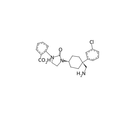 NC[C@]1(c2cccc(Cl)c2)CC[C@H](N2CCN(c3ccccc3C(=O)O)C2=O)CC1